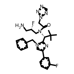 CC(C)(C)[C@H](c1nc(-c2cccc(F)c2)cn1Cc1ccccc1)N(C[C@@H](F)CN)C(=O)Cn1ncnn1